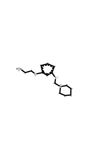 NCCOc1cccc(SCN2CCCCC2)c1